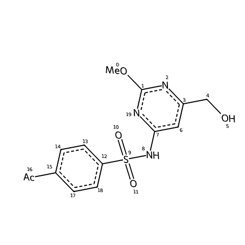 COc1nc(CO)cc(NS(=O)(=O)c2ccc(C(C)=O)cc2)n1